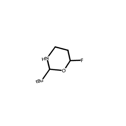 CC(C)(C)C1NCCC(F)O1